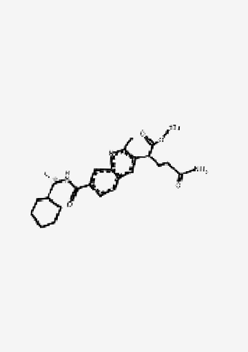 Cc1nc2cc(C(=O)N[C@@H](C)C3CCCCC3)ccc2cc1C(CCC(N)=O)C(=O)OC(C)(C)C